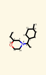 CCC1CN(C(C)C2CCC(C)CC2)CCO1